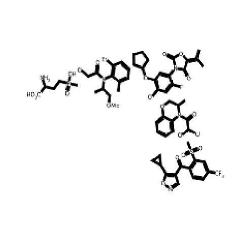 CC(C)=C1OC(=O)N(c2cc(OC3CCCC3)c(Cl)cc2F)C1=O.CC1COc2ccccc2N1C(=O)C(Cl)Cl.CCc1cccc(C)c1N(C(=O)CCl)C(C)COC.CP(=O)(O)CCC(N)C(=O)O.CS(=O)(=O)c1cc(C(F)(F)F)ccc1C(=O)c1cnoc1C1CC1